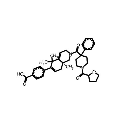 CC1(C)C(c2ccc(C(=O)O)cc2)=CC[C@]2(C)CN(C(=O)C3(c4ccccc4)CCN(C(=O)C4CCCO4)CC3)CC=C12